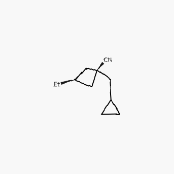 CC[C@H]1C[C@](C#N)(CC2CC2)C1